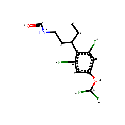 CCC(CCNC=O)c1c(F)cc(OC(F)F)cc1F